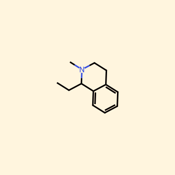 CCC1c2ccccc2CCN1C